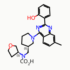 Cc1ccc2c(N3CCC[C@H](CN(C(=O)O)[C@H]4CCOC4)C3)nc(-c3ccccc3O)nc2c1